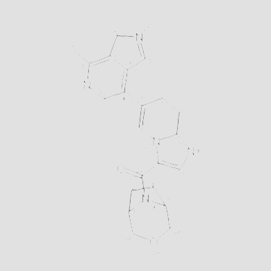 Cc1ncc(-c2ccc3ncc(C(=O)N4C5CCC4COC5)n3c2)c2c1CN=C2